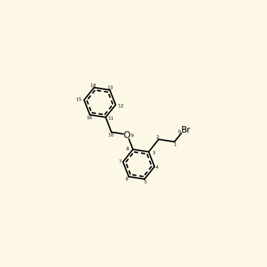 BrCCc1ccccc1OCc1ccccc1